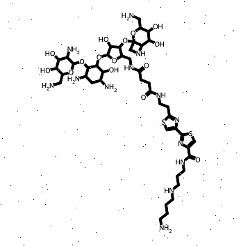 NCCCCNCCCNC(=O)c1csc(-c2csc(CCNC(=O)CCC(=O)NCC3OC(OC4C(O)C(N)CC(N)C4OC4OC(CN)C(O)C(O)C4N)C(O)C3OC34CNC3C(O)C(O)C(CN)O4)n2)n1